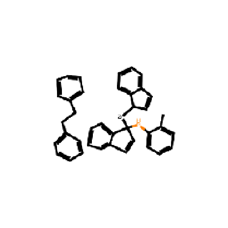 Cc1ccccc1P[C]1([Zr][CH]2C=Cc3ccccc32)C=Cc2ccccc21.c1ccc(CCc2ccccc2)cc1